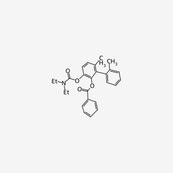 CCN(CC)C(=O)Oc1ccc(C)c(-c2ccccc2C)c1OC(=O)c1ccccc1